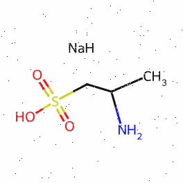 CC(N)CS(=O)(=O)O.[NaH]